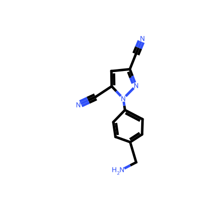 N#Cc1cc(C#N)n(-c2ccc(CN)cc2)n1